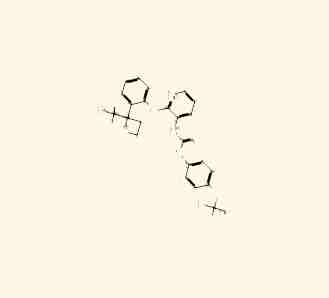 O=C(Nc1ccc(OC(F)(F)F)cc1)Nc1cccnc1Oc1ccccc1C1(C(F)(F)F)CCO1